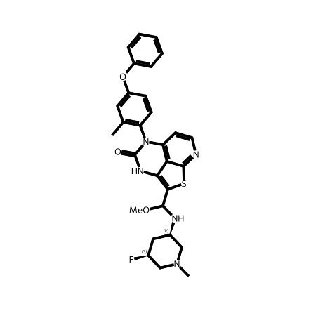 COC(N[C@@H]1C[C@H](F)CN(C)C1)c1sc2nccc3c2c1NC(=O)N3c1ccc(Oc2ccccc2)cc1C